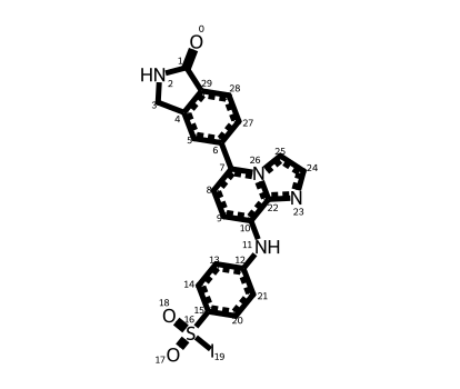 O=C1NCc2cc(-c3ccc(Nc4ccc(S(=O)(=O)I)cc4)c4nccn34)ccc21